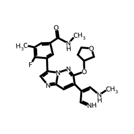 CN/C=C(\C=N)c1cc2ncc(-c3cc(C(=O)NC)cc(C)c3F)n2nc1OC1CCOC1